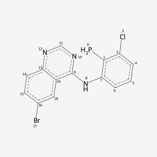 Pc1c(Cl)cccc1Nc1ncnc2ccc(Br)cc12